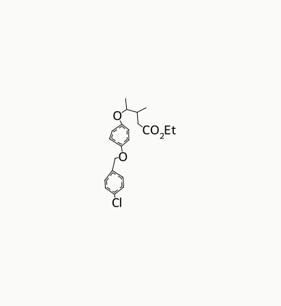 CCOC(=O)CC(C)C(C)Oc1ccc(OCc2ccc(Cl)cc2)cc1